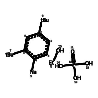 CC(C)(C)c1cc[c]([Na])c(C(C)(C)C)c1.CCO.O=P(O)(O)O